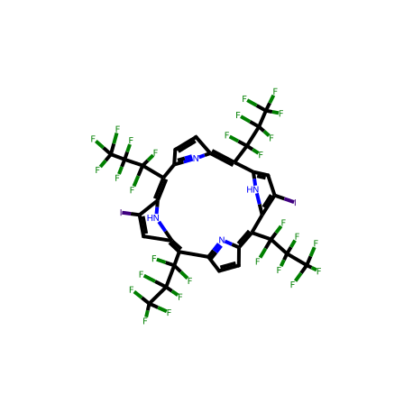 FC(F)(F)C(F)(F)C(F)(F)c1c2nc(c(C(F)(F)C(F)(F)C(F)(F)F)c3[nH]c(cc3I)c(C(F)(F)C(F)(F)C(F)(F)F)c3nc(c(C(F)(F)C(F)(F)C(F)(F)F)c4[nH]c1cc4I)C=C3)C=C2